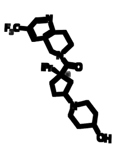 CC(C)[C@]1(C(=O)N2CCc3ncc(C(F)(F)F)cc3C2)CCC(N2CCC(O)CC2)C1